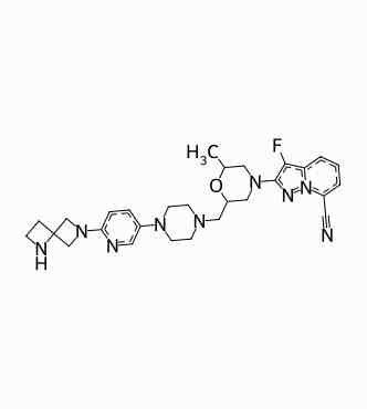 CC1CN(c2nn3c(C#N)cccc3c2F)CC(CN2CCN(c3ccc(N4CC5(CCN5)C4)nc3)CC2)O1